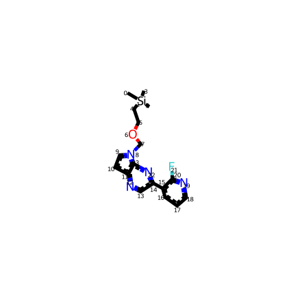 C[Si](C)(C)CCOCn1ccc2ncc(-c3cccnc3F)nc21